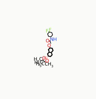 CC1(C)OB(c2ccc3ccc(OCC(=O)NC4CCC(F)(F)CC4)cc3c2)OC1(C)C